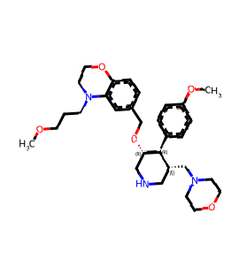 COCCCN1CCOc2ccc(CO[C@H]3CNC[C@@H](CN4CCOCC4)[C@@H]3c3ccc(OC)cc3)cc21